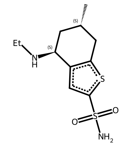 CCN[C@H]1C[C@H](C)Cc2sc(S(N)(=O)=O)cc21